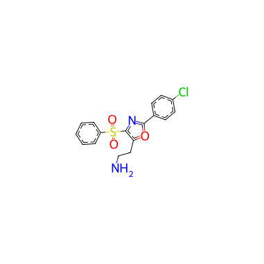 NCCc1oc(-c2ccc(Cl)cc2)nc1S(=O)(=O)c1ccccc1